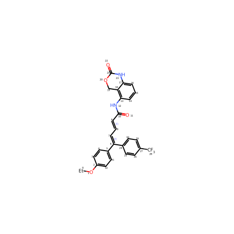 CCOc1ccc(/C(=C/C=C/C(=O)Nc2cccc3c2COC(=O)N3)c2ccc(C(F)(F)F)cc2)cc1